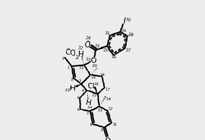 CC1=C[C@H]2[C@@H]3CCC4=CC(=O)C=C[C@]4(C)[C@@]3(Cl)CC[C@]2(C)[C@@]1(OC(=O)c1cccc(I)c1)C(=O)O